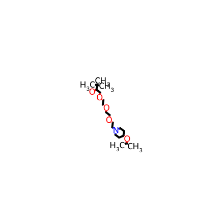 CC(C)OC1CCN(CCOCCOCCOCC(=O)C(C)(C)C)CC1